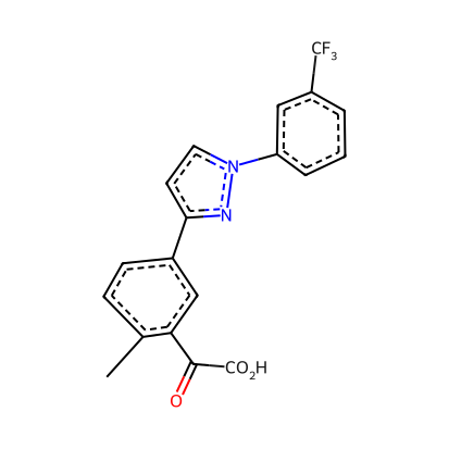 Cc1ccc(-c2ccn(-c3cccc(C(F)(F)F)c3)n2)cc1C(=O)C(=O)O